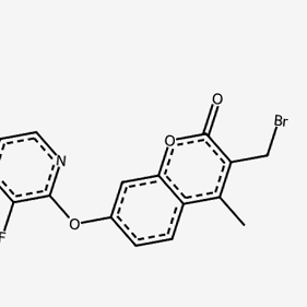 Cc1c(CBr)c(=O)oc2cc(Oc3ncccc3F)ccc12